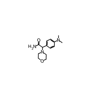 CN(C)c1ccc(C(C(N)=O)N2CCOCC2)cc1